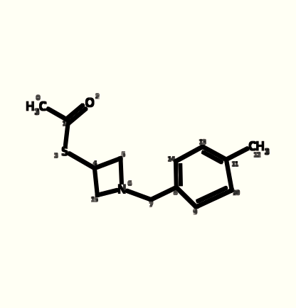 CC(=O)SC1CN(Cc2ccc(C)cc2)C1